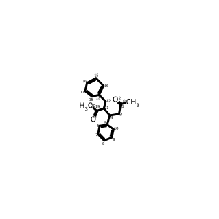 CC(=O)CC(c1ccccc1)C(Cc1ccccc1)C(C)=O